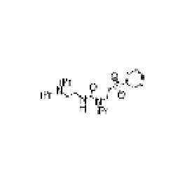 CC(C)N(CCS(=O)(=O)c1ccccc1)C(=O)NCCN(C(C)C)C(C)C